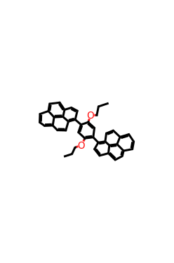 CCCOc1cc(-c2ccc3ccc4cccc5ccc2c3c45)c(OCCC)cc1-c1ccc2ccc3cccc4ccc1c2c34